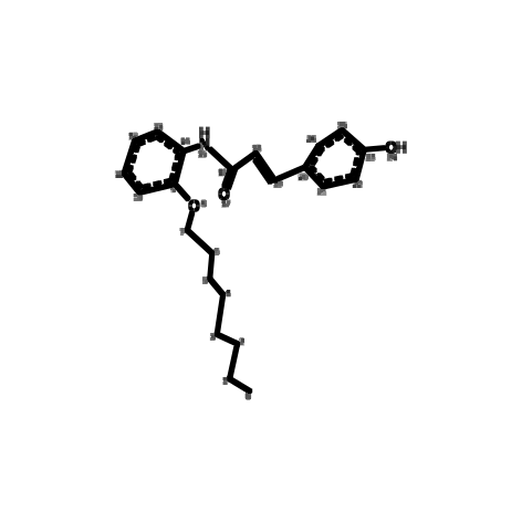 CCCCCCCCOc1ccccc1NC(=O)/C=C/c1ccc(O)cc1